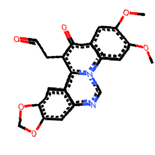 COc1cc2c(=O)c(CC=O)c3c4cc5c(cc4ncn3c2cc1OC)OCO5